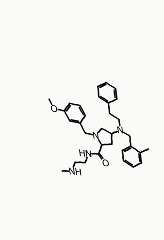 CNCCNC(=O)C1CC(N(CCc2ccccc2)Cc2ccccc2C)CN1Cc1cccc(OC)c1